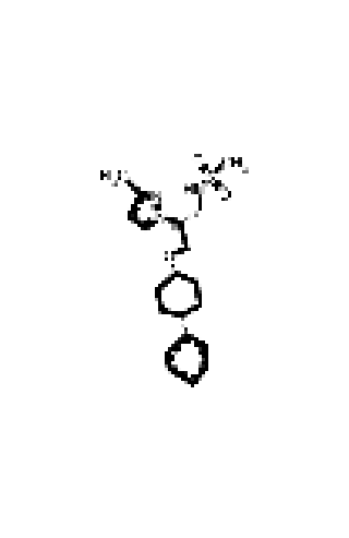 Cc1ccn([C@H](CNS(C)(=O)=O)CO[C@H]2CC[C@@H](c3ccccc3)CC2)n1